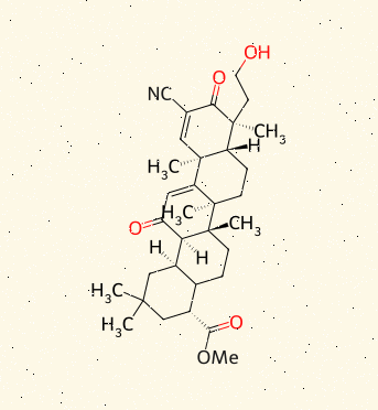 COC(=O)[C@@H]1CC(C)(C)C[C@@H]2C1CC[C@]1(C)[C@@H]2C(=O)C=C2[C@@]3(C)C=C(C#N)C(=O)[C@@](C)(CCO)[C@@H]3CC[C@]21C